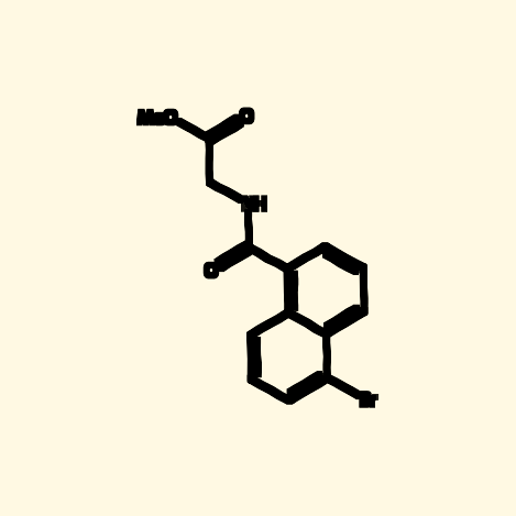 COC(=O)CNC(=O)c1cccc2c(Br)cccc12